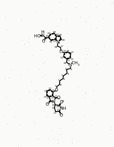 CN(CCCCCCCCOc1cccc2c1C(=O)N(C1CCC(=O)NC1=O)C2=O)Cc1cccc(OCCn2ccc3ccc(C(=O)NO)cc32)c1